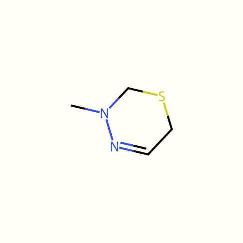 CN1CSCC=N1